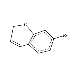 Brc1ccc2c(c1)OCC=C2